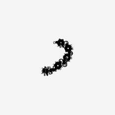 Cc1ccc(Oc2ccc(OC3CCN(C(=O)Oc4ccc(CCSc5ncc[nH]5)cc4)CC3)cc2)nc1